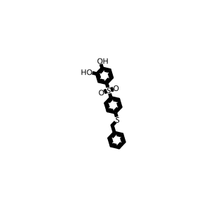 O=S(=O)(c1ccc(SCc2ccccc2)cc1)c1ccc(O)c(O)c1